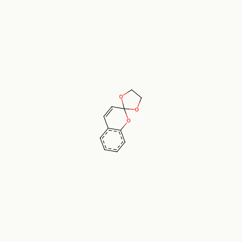 C1=CC2(OCCO2)Oc2ccccc21